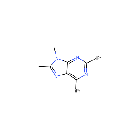 Cc1nc2c(C(C)C)nc(C(C)C)nc2n1C